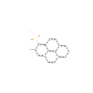 NS(=O)(=O)c1c(O)cc2ccc3cccc4ccc1c2c34